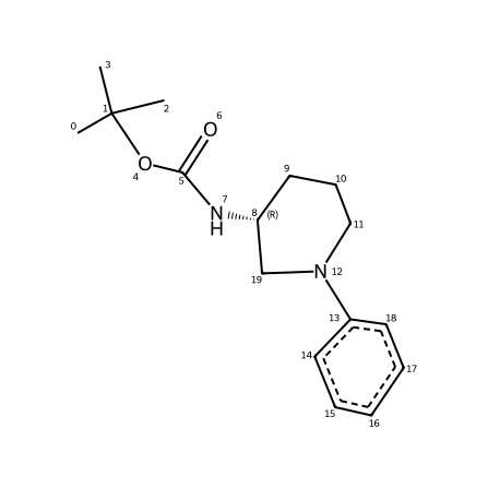 CC(C)(C)OC(=O)N[C@@H]1CCCN(c2ccccc2)C1